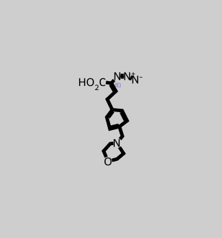 [N-]=[N+]=N/C(=C/Cc1ccc(CN2CCOCC2)cc1)C(=O)O